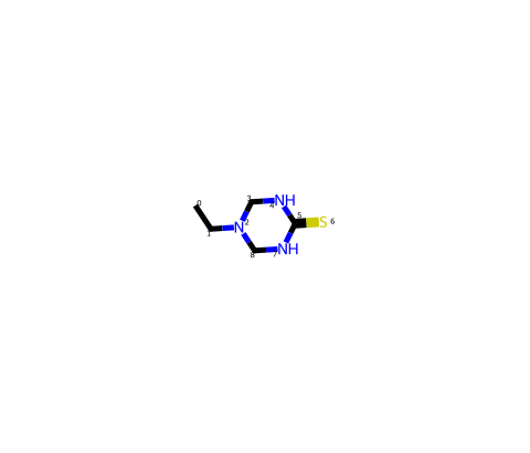 CCN1CNC(=S)NC1